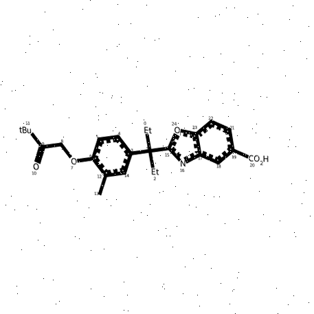 CCC(CC)(c1ccc(OCC(=O)C(C)(C)C)c(C)c1)c1nc2cc(C(=O)O)ccc2o1